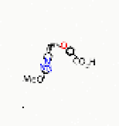 COCc1cnc(N2CCC([C@H]3C[C@H]3CCOc3ccc(CC(=O)O)cc3)CC2)nc1